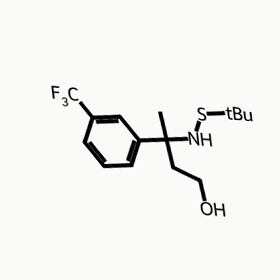 CC(C)(C)SNC(C)(CCO)c1cccc(C(F)(F)F)c1